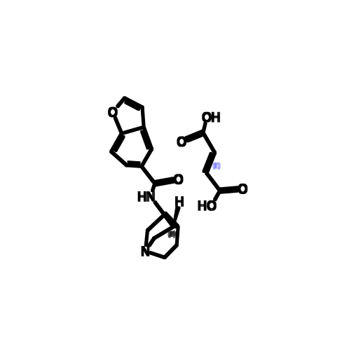 O=C(N[C@H]1CN2CCC1CC2)c1ccc2occc2c1.O=C(O)/C=C/C(=O)O